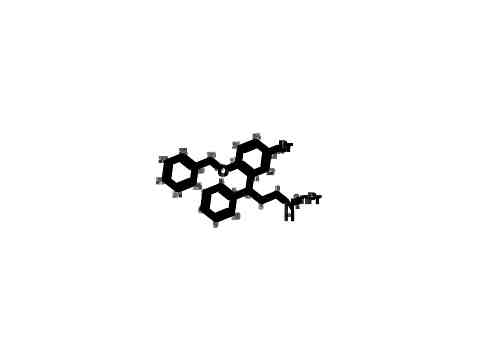 CCCNCCC(c1ccccc1)c1cc(Br)ccc1OCc1ccccc1